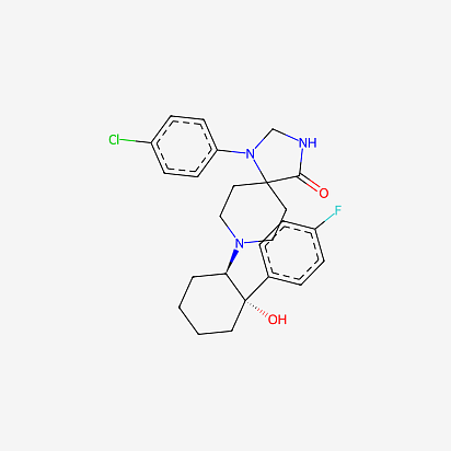 O=C1NCN(c2ccc(Cl)cc2)C12CCN([C@@H]1CCCC[C@]1(O)c1ccc(F)cc1)CC2